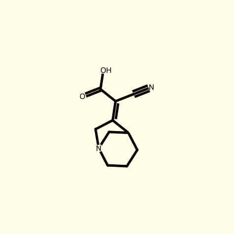 N#CC(C(=O)O)=C1CN2CCCC1C2